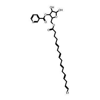 CCC=CCC=CCC=CCC=CCC=CCCCC(=O)OCC1OC(O)C(O)C1OC(=O)c1cccnc1